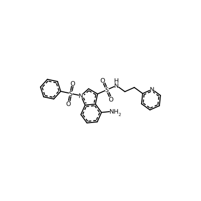 Nc1cccc2c1c(S(=O)(=O)NCCc1ccccn1)cn2S(=O)(=O)c1ccccc1